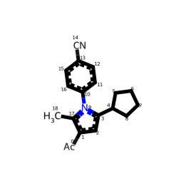 CC(=O)c1cc(C2CCCC2)n(-c2ccc(C#N)cc2)c1C